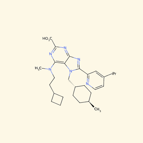 CC(C)c1ccnc(-c2nc3nc(C(=O)O)nc(N(C)CCC4CCC4)c3n2C[C@H]2CC[C@H](C)CC2)c1